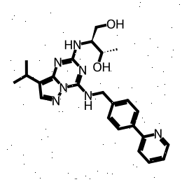 CC(C)c1cnn2c(NCc3ccc(-c4ccccn4)cc3)nc(N[C@@H](CO)[C@H](C)O)nc12